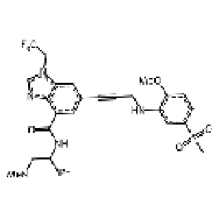 CNCC(NC(=O)c1cc(C#CCNc2cc(S(C)(=O)=O)ccc2OC)cc2c1ncn2CC(F)(F)F)C(C)C